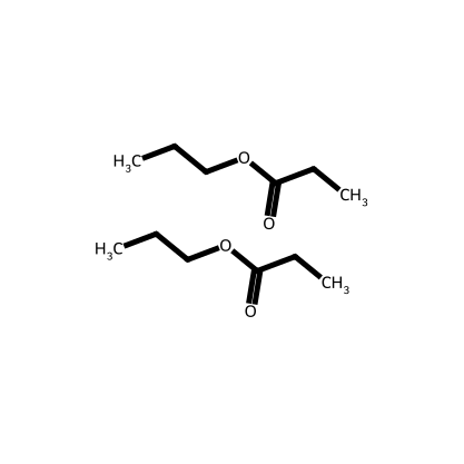 CCCOC(=O)CC.CCCOC(=O)CC